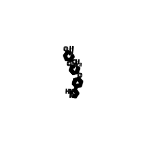 C[C@@]1(Oc2ccc(Oc3ccc(-c4ccn[nH]4)cc3)cn2)CCC(=O)NC1